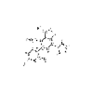 CCOC(=O)C1=C2[C@H](Br)CCN2C(c2nccs2)=N[C@H]1c1ccc(F)cc1Br